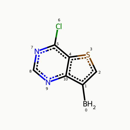 Bc1csc2c(Cl)ncnc12